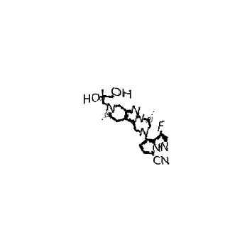 C[C@@H]1CN(c2ccc(C#N)n3ncc(F)c23)Cc2c3c(nn21)CN(C[C@](C)(O)CO)[C@@H](C)C3